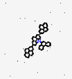 c1ccc2c(c1)cc(-n1c3cc(-c4cc5ccc6cccc7ccc(c4)c5c67)cc4ccc5cc(-c6cc7ccc8cccc9ccc(c6)c7c89)cc1c5c43)c1ccccc12